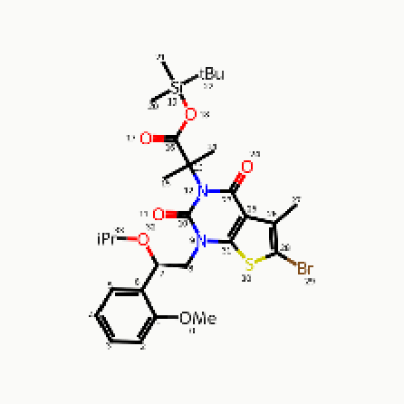 COc1ccccc1[C@H](Cn1c(=O)n(C(C)(C)C(=O)O[Si](C)(C)C(C)(C)C)c(=O)c2c(C)c(Br)sc21)OC(C)C